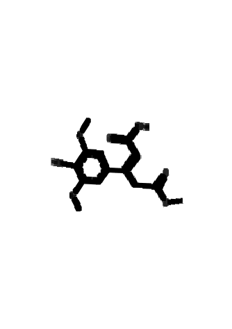 COC(=O)CC(=CC(=O)O)c1cc(OC)c(O)c(OC)c1